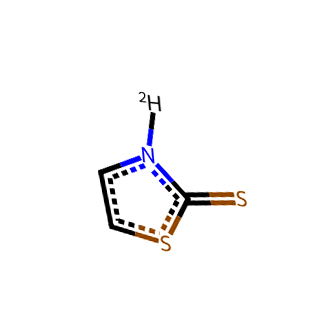 [2H]n1ccsc1=S